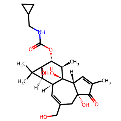 CC1=C[C@H]2[C@@]3(O)[C@H](C)[C@@H](OC(=O)NCC4CC4)[C@]4(O)[C@@H]([C@@H]3C=C(CO)C[C@]2(O)C1=O)C4(C)C